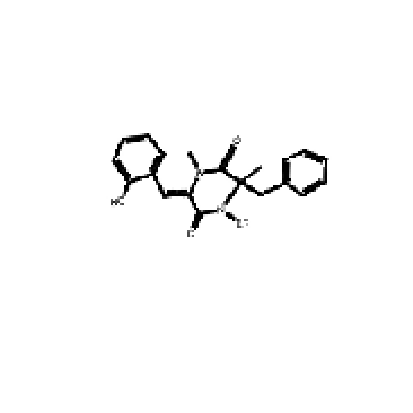 CCN1C(=O)C(=Cc2ccccc2C#N)N(C)C(=O)C1(C)Cc1ccccc1